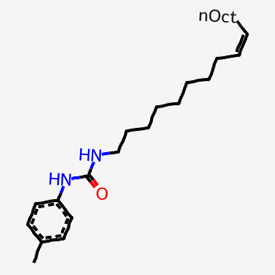 CCCCCCCC/C=C\CCCCCCCCNC(=O)Nc1ccc(C)cc1